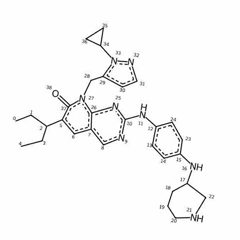 CCC(CC)c1cc2cnc(Nc3ccc(NC4CCCNC4)cc3)nc2n(Cc2ccnn2C2CC2)c1=O